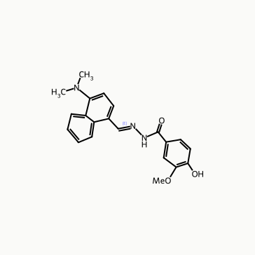 COc1cc(C(=O)N/N=C/c2ccc(N(C)C)c3ccccc23)ccc1O